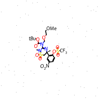 COCCOCN(C(=O)OC(C)(C)C)C1=N[C@](C)(c2cc([N+](=O)[O-])ccc2OS(=O)(=O)C(F)(F)F)CS(=O)(=O)N1C